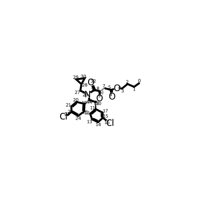 CCCCOC(=O)C[C@@H]1O[C@@H](c2cccc(Cl)c2)[C@H](c2ccc(Cl)cc2)N(CC2CC2)C1=O